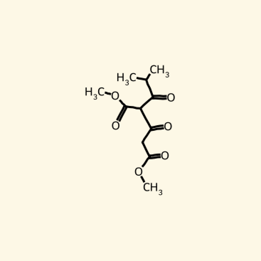 COC(=O)CC(=O)C(C(=O)OC)C(=O)C(C)C